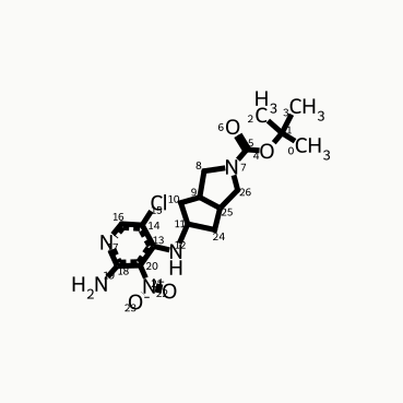 CC(C)(C)OC(=O)N1CC2CC(Nc3c(Cl)cnc(N)c3[N+](=O)[O-])CC2C1